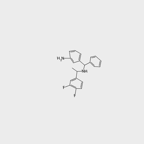 CC(NC(c1ccccc1)c1cccc(N)c1)c1ccc(F)c(F)c1